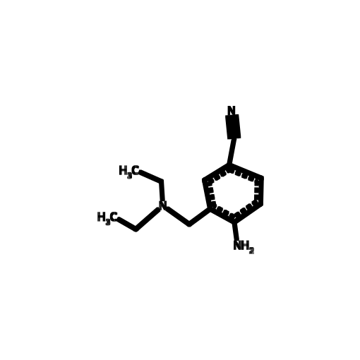 CCN(CC)Cc1cc(C#N)ccc1N